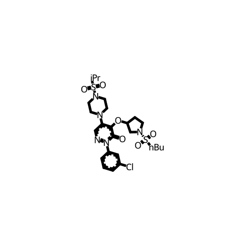 CCCCS(=O)(=O)N1CCC(Oc2c(N3CCN(S(=O)(=O)C(C)C)CC3)cnn(-c3cccc(Cl)c3)c2=O)C1